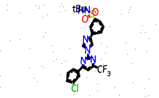 CC(C)(C)NS(=O)(=O)c1cccc(-c2cn(-c3nc(-c4cccc(Cl)c4)cc(C(F)(F)F)n3)cn2)c1